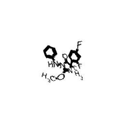 COC1=NC(C)(c2ccc(F)cc2F)C(=O)N1Nc1ccccc1